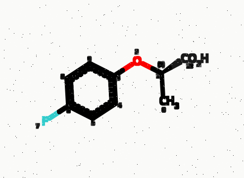 C[C@@H](Oc1ccc(F)cc1)C(=O)O